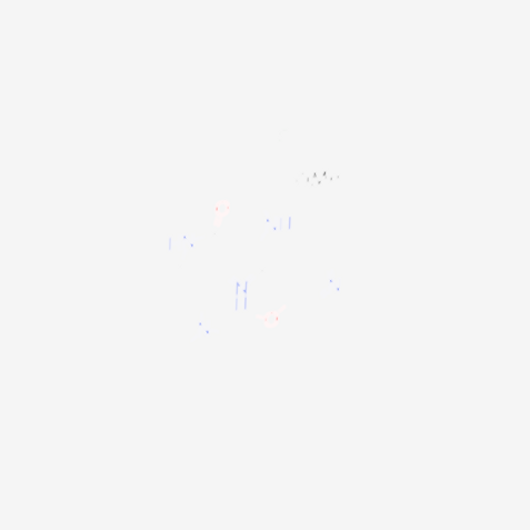 COc1c(Cl)cccc1Nc1c(-c2ccncc2OCCN(C)C)[nH]c2c1C(=O)NCC2